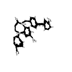 O=C1CCN(c2ccc(Cl)cc2)c2cc(O)ccc2N1Cc1ccc(-c2cccc(Cl)c2)cc1